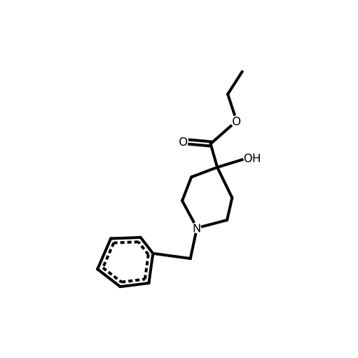 CCOC(=O)C1(O)CCN(Cc2ccccc2)CC1